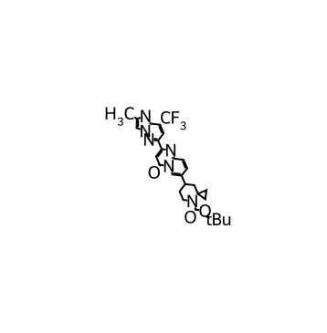 Cc1cn2nc(-c3cc(=O)n4cc(C5CCN(C(=O)OC(C)(C)C)C6(CC6)C5)ccc4n3)cc(C(F)(F)F)c2n1